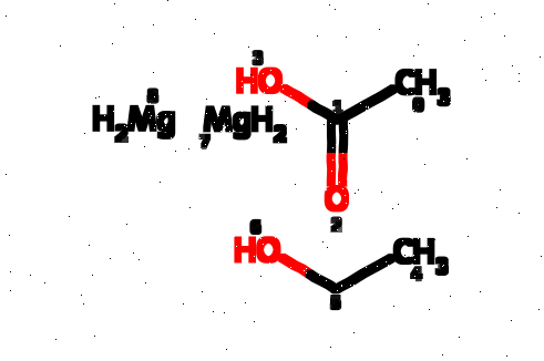 CC(=O)O.CCO.[MgH2].[MgH2]